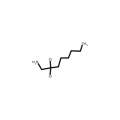 CCCCCCC(Cl)(Cl)CN